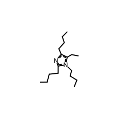 CCCCc1nc(CCCC)n(CCCC)c1CC